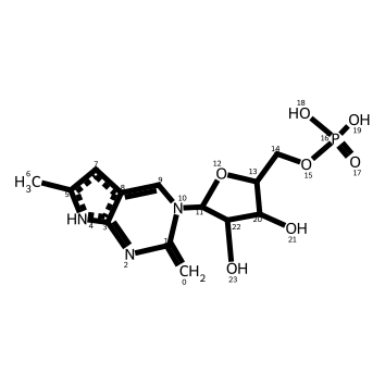 C=C1N=c2[nH]c(C)cc2=CN1C1OC(COP(=O)(O)O)C(O)C1O